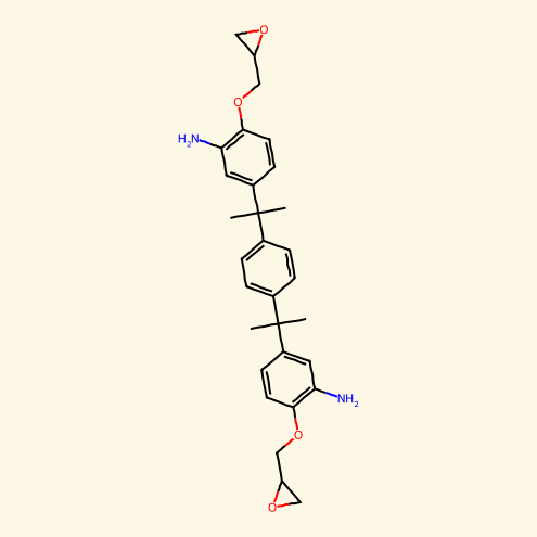 CC(C)(c1ccc(C(C)(C)c2ccc(OCC3CO3)c(N)c2)cc1)c1ccc(OCC2CO2)c(N)c1